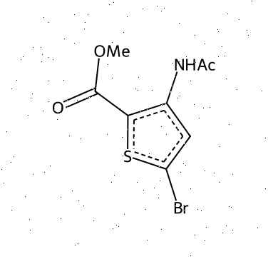 COC(=O)c1sc(Br)cc1NC(C)=O